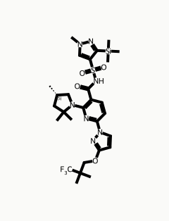 C[C@@H]1CN(c2nc(-n3ccc(OCC(C)(C)C(F)(F)F)n3)ccc2C(=O)NS(=O)(=O)c2cn(C)nc2[Si](C)(C)C)C(C)(C)C1